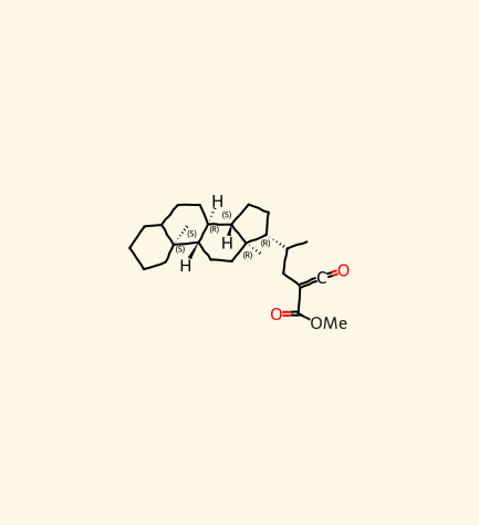 COC(=O)C(=C=O)CC(C)[C@H]1CC[C@H]2[C@@H]3CCC4CCCC[C@]4(C)[C@H]3CC[C@]12C